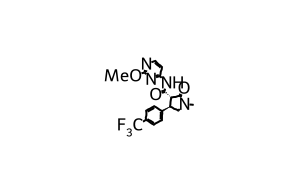 COc1nccc(NC(=O)[C@@H]2C(=O)N(C)C[C@H]2c2ccc(C(F)(F)F)cc2)n1